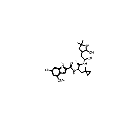 COc1cc(Cl)cc2[nH]c(C(=O)NC(CC3(C)CC3)C(=O)NC(C#N)CC3CC(C)(C)NC3O)cc12